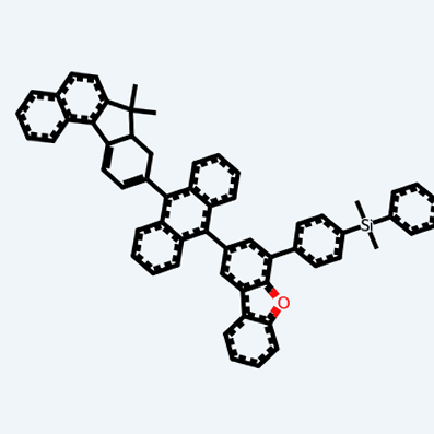 CC1(C)c2ccc3ccccc3c2C2=CC=C(c3c4ccccc4c(-c4cc(-c5ccc([Si](C)(C)c6ccccc6)cc5)c5oc6ccccc6c5c4)c4ccccc34)CC21